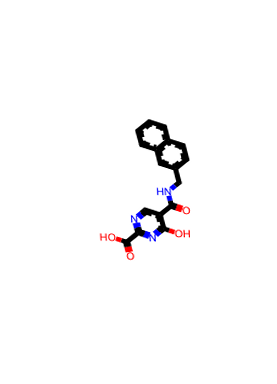 O=C(O)c1ncc(C(=O)NCc2ccc3ccccc3c2)c(O)n1